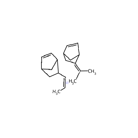 C/C=C\C1CC2C=CC1C2.CC(C)=C1CC2C=CC1C2